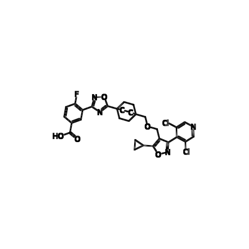 O=C(O)c1ccc(F)c(-c2noc(C34CCC(COCc5c(-c6c(Cl)cncc6Cl)noc5C5CC5)(CC3)CC4)n2)c1